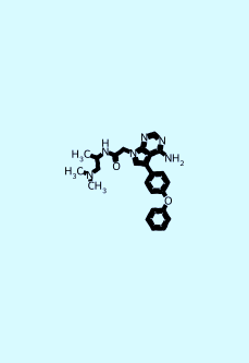 CC(CN(C)C)NC(=O)Cn1cc(-c2ccc(Oc3ccccc3)cc2)c2c(N)ncnc21